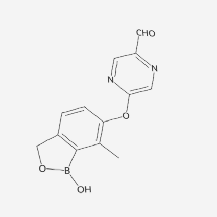 Cc1c(Oc2cnc(C=O)cn2)ccc2c1B(O)OC2